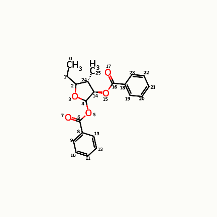 CCC1OC(OC(=O)c2ccccc2)[C@H](OC(=O)c2ccccc2)[C@H]1C